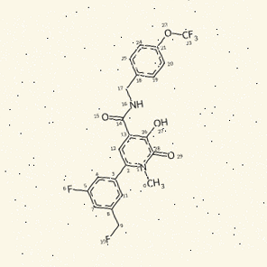 Cn1c(-c2cc(F)cc(CF)c2)cc(C(=O)NCc2ccc(OC(F)(F)F)cc2)c(O)c1=O